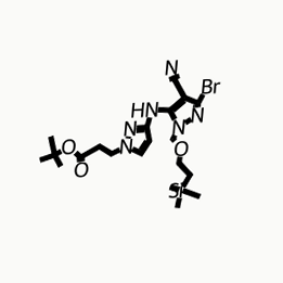 CC(C)(C)OC(=O)CCn1ccc(Nc2c(C#N)c(Br)nn2COCC[Si](C)(C)C)n1